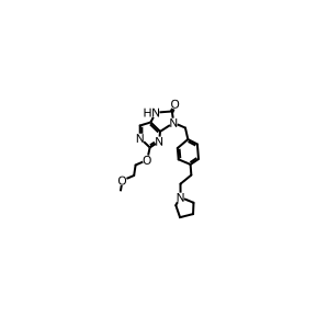 COCCOc1ncc2[nH]c(=O)n(Cc3ccc(CCN4CCCC4)cc3)c2n1